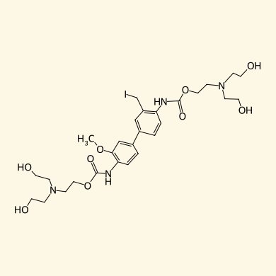 COc1cc(-c2ccc(NC(=O)OCCN(CCO)CCO)c(CI)c2)ccc1NC(=O)OCCN(CCO)CCO